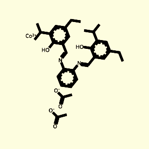 CC(=O)[O-].CC(=O)[O-].CCc1cc(C=Nc2ccccc2N=Cc2cc(CC)cc(C(C)C)c2O)c(O)c(C(C)C)c1.[Co+2]